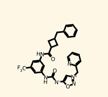 O=C([N-]c1c[n+](Cc2ccccn2)no1)Nc1cc(NC(=O)C2CC(Cc3ccccc3)C2)cc(C(F)(F)F)c1